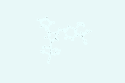 Cc1cc(Cn2nc(C(F)(F)C(F)(F)F)nc2-c2cccs2)ccc1[N+](=O)[O-]